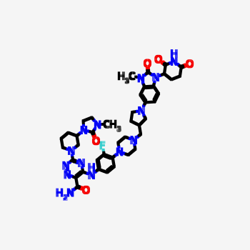 CN1CCN(C2CCCN(c3nnc(C(N)=O)c(Nc4ccc(N5CCN(CC6CCN(c7ccc8c(c7)n(C)c(=O)n8C7CCC(=O)NC7=O)C6)CC5)c(F)c4)n3)C2)C1=O